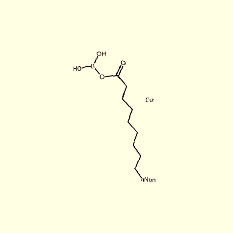 CCCCCCCCCCCCCCCCCC(=O)OB(O)O.[Cu]